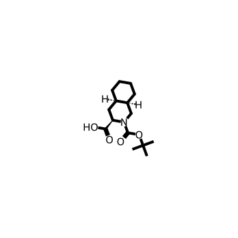 CC(C)(C)OC(=O)N1C[C@@H]2CCCC[C@@H]2C[C@@H]1C(=O)O